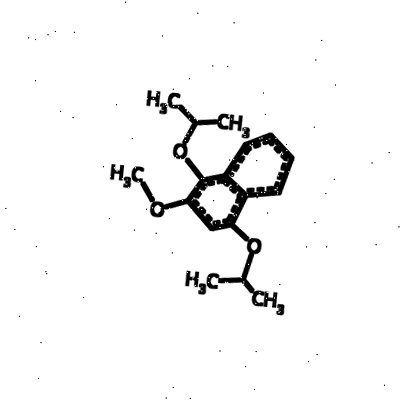 COc1cc(OC(C)C)c2ccccc2c1OC(C)C